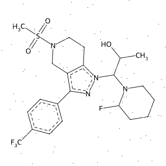 CC(O)C(N1CC[CH]CC1F)n1nc(-c2ccc(C(F)(F)F)cc2)c2c1CCN(S(C)(=O)=O)C2